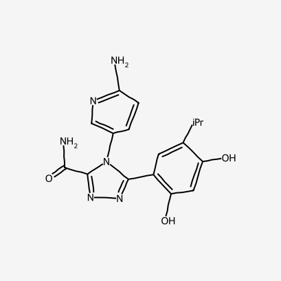 CC(C)c1cc(-c2nnc(C(N)=O)n2-c2ccc(N)nc2)c(O)cc1O